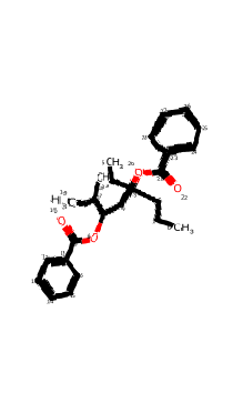 CCCC(CC)(CC(OC(=O)c1ccccc1)C(C)C)OC(=O)c1ccccc1